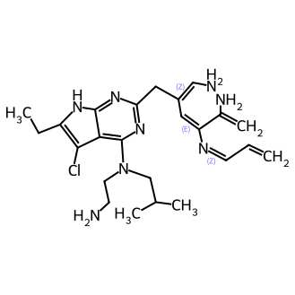 C=C\C=N/C(=C/C(=C\N)Cc1nc(N(CCN)CC(C)C)c2c(Cl)c(CC)[nH]c2n1)C(=C)N